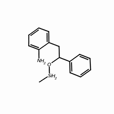 C[SiH2]OC(Cc1ccccc1N)c1ccccc1